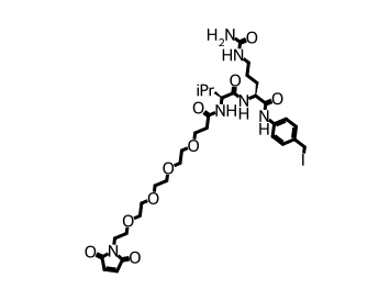 CC(C)[C@H](NC(=O)CCOCCOCCOCCOCCN1C(=O)C=CC1=O)C(=O)N[C@@H](CCCNC(N)=O)C(=O)Nc1ccc(CI)cc1